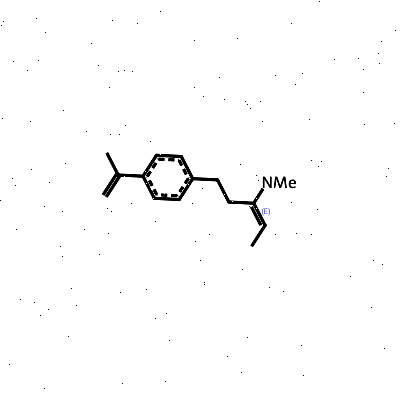 C=C(C)c1ccc(CC/C(=C\C)NC)cc1